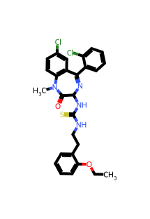 CCOc1ccccc1CCNC(=S)NC1N=C(c2ccccc2Cl)c2cc(Cl)ccc2N(C)C1=O